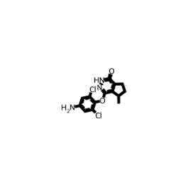 CC1CCc2c1c(Oc1c(Cl)cc(N)cc1Cl)n[nH]c2=O